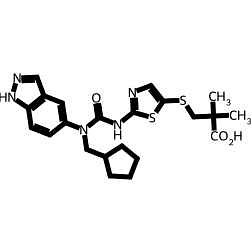 CC(C)(CSc1cnc(NC(=O)N(CC2CCCC2)c2ccc3[nH]ncc3c2)s1)C(=O)O